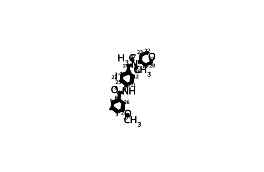 COc1cccc(C(=O)Nc2ccc(C[N+](C)(C)C3CCOCC3)cc2)c1.[I-]